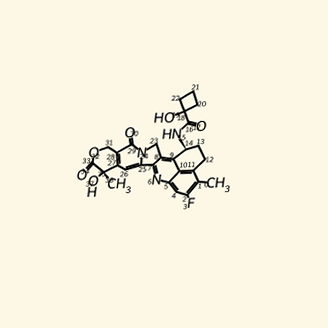 Cc1c(F)cc2nc3c(c4c2c1CC[C@@H]4NC(=O)C1(O)CCC1)Cn1c-3cc2c(c1=O)COC(=O)[C@@]2(C)O